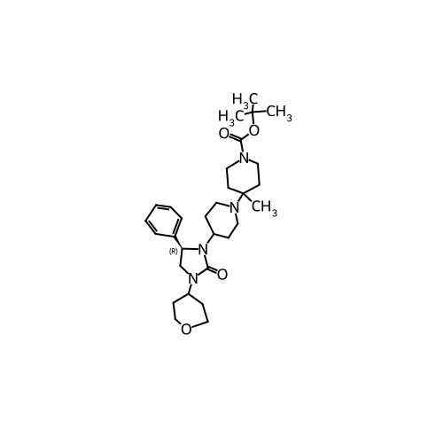 CC(C)(C)OC(=O)N1CCC(C)(N2CCC(N3C(=O)N(C4CCOCC4)C[C@H]3c3ccccc3)CC2)CC1